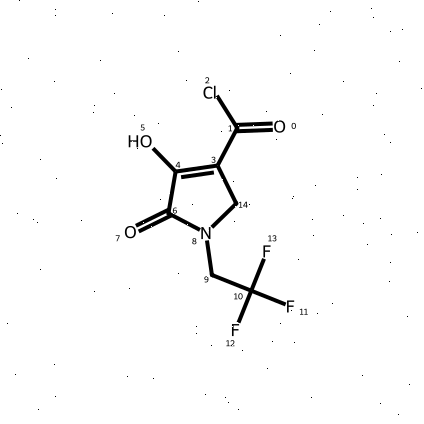 O=C(Cl)C1=C(O)C(=O)N(CC(F)(F)F)C1